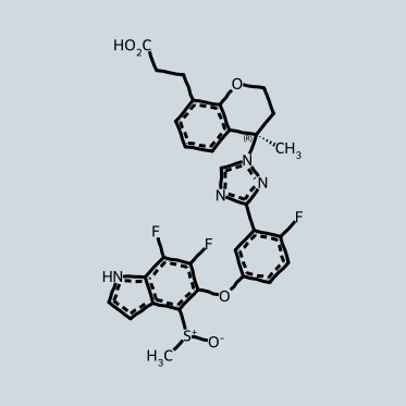 C[S+]([O-])c1c(Oc2ccc(F)c(-c3ncn([C@]4(C)CCOc5c(CCC(=O)O)cccc54)n3)c2)c(F)c(F)c2[nH]ccc12